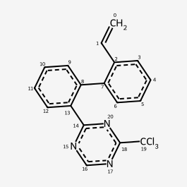 C=Cc1ccccc1-c1ccccc1-c1ncnc(C(Cl)(Cl)Cl)n1